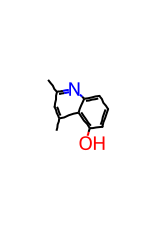 Cc1cc(C)c2c(O)cccc2n1